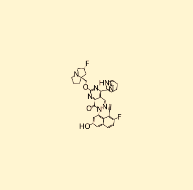 C#Cc1c(F)ccc2cc(O)cc(-n3ncc4c(N5CC6CCC5CN6)nc(OC[C@@]56CCCN5C[C@H](F)C6)nc4c3=O)c12